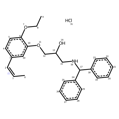 C/C=C\c1ccc(OCC)c(OCC(O)CNC(c2ccccc2)c2ccccc2)c1.Cl